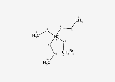 CCC[N+](CC)(CC)CCC.[Br-]